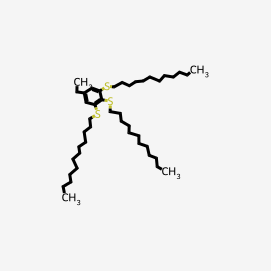 CCCCCCCCCCCCSc1cc(CC)cc(SCCCCCCCCCCCC)c1SCCCCCCCCCCCC